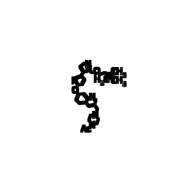 CC(=O)N1CCN(Cc2cnc3cc(Oc4ccc(-c5ccnn5COCC[Si](C)(C)C)cn4)ccc3c2)CC1